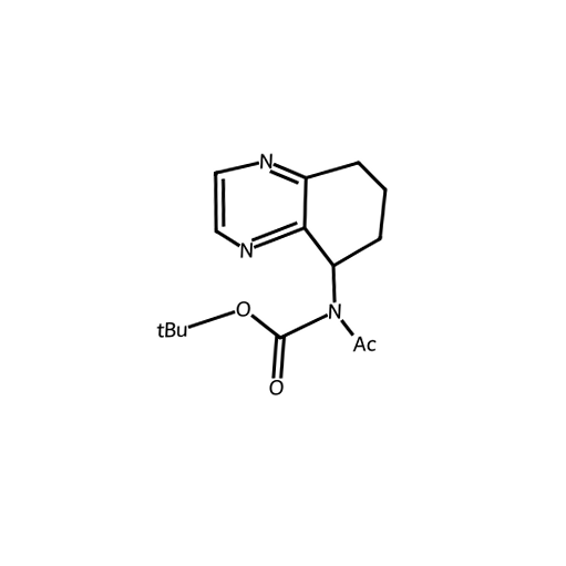 CC(=O)N(C(=O)OC(C)(C)C)C1CCCc2nccnc21